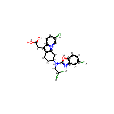 O=C(O)Cc1c2c(n3cc(Cl)ccc13)CC(N(CC(F)F)c1nc3cc(F)ccc3o1)CC2